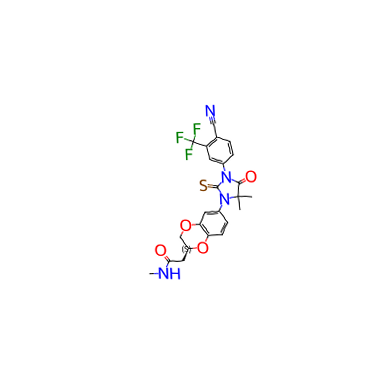 CNC(=O)C[C@H]1COc2cc(N3C(=S)N(c4ccc(C#N)c(C(F)(F)F)c4)C(=O)C3(C)C)ccc2O1